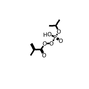 C=C(C)C(=O)OOP(=O)(O)OC(C)C